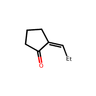 CCC=C1CCCC1=O